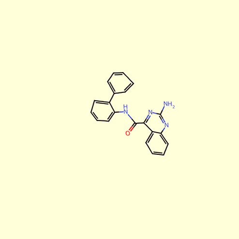 Nc1nc(C(=O)Nc2ccccc2-c2ccccc2)c2ccccc2n1